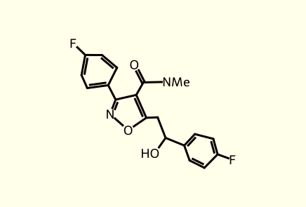 CNC(=O)c1c(-c2ccc(F)cc2)noc1CC(O)c1ccc(F)cc1